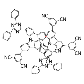 N#Cc1cc(C#N)cc(-c2ccc3c(c2)c2cc(-c4cc(C#N)cc(C#N)c4)ccc2n3-c2cc(-c3nc(-c4ccccc4)nc(-c4ccccc4)n3)ccc2-c2cccc(-c3ccc(-c4nc(-c5ccccc5)nc(-c5ccccc5)n4)cc3-n3c4ccc(-c5cc(C#N)cc(C#N)c5)cc4c4cc(-c5cc(C#N)cc(C#N)c5)ccc43)c2)c1